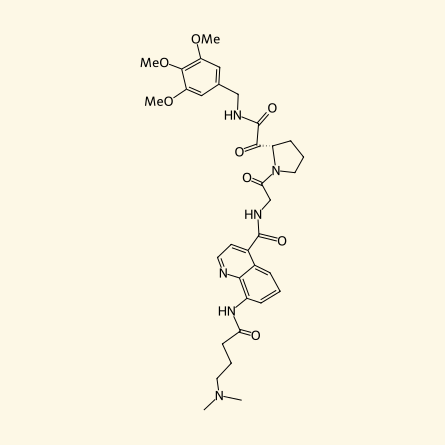 COc1cc(CNC(=O)C(=O)[C@@H]2CCCN2C(=O)CNC(=O)c2ccnc3c(NC(=O)CCCN(C)C)cccc23)cc(OC)c1OC